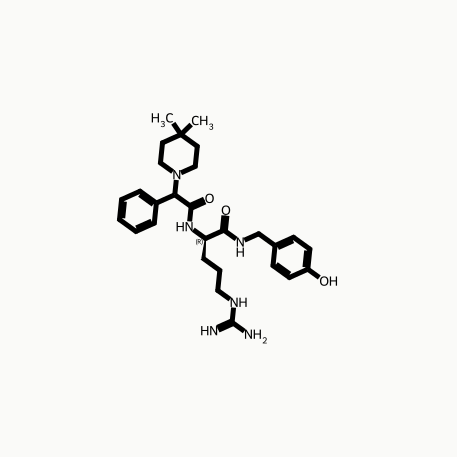 CC1(C)CCN(C(C(=O)N[C@H](CCCNC(=N)N)C(=O)NCc2ccc(O)cc2)c2ccccc2)CC1